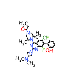 C=CC(=O)N1C[C@@H](C)N(c2nc(N3CC(N(C)C)C3)nc3c(F)c(-c4c(O)cccc4F)c(Cl)cc23)[C@@H](C)C1